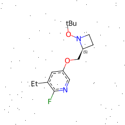 CCc1cc(OC[C@@H]2CCN2OC(C)(C)C)cnc1F